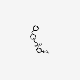 O=[N+]([O-])c1cccc(S(=O)(=O)CCN2CCC(Cc3ccccc3)CC2)c1